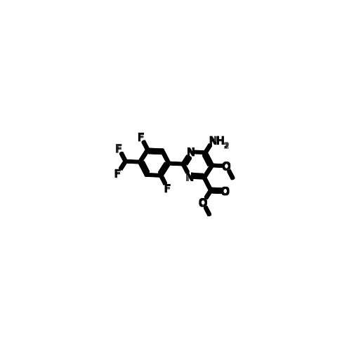 COC(=O)c1nc(-c2cc(F)c(C(F)F)cc2F)nc(N)c1OC